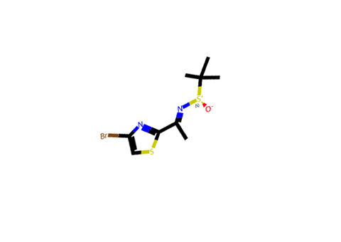 CC(=N[S@+]([O-])C(C)(C)C)c1nc(Br)cs1